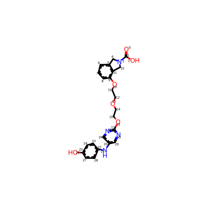 O=C(O)N1Cc2cccc(OCCOCCOc3ncc(Nc4ccc(O)cc4)cn3)c2C1